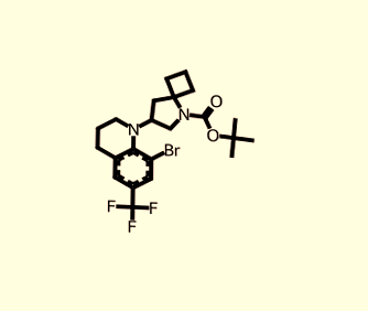 CC(C)(C)OC(=O)N1CC(N2CCCc3cc(C(F)(F)F)cc(Br)c32)CC12CCC2